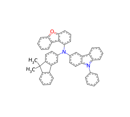 CC1(C)c2ccccc2-c2cc(N(c3ccc4c(c3)c3ccccc3n4-c3ccccc3)c3cccc4oc5ccccc5c34)ccc21